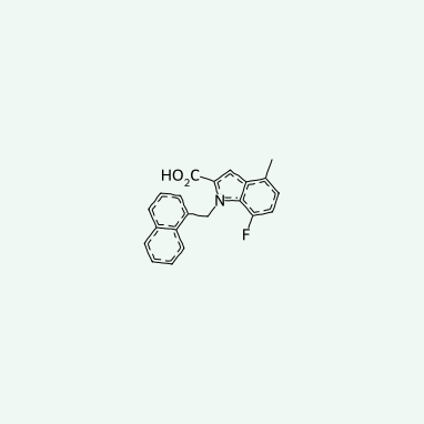 Cc1ccc(F)c2c1cc(C(=O)O)n2Cc1cccc2ccccc12